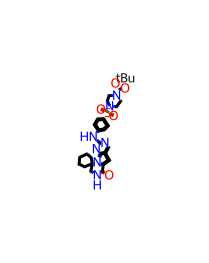 CC(C)(C)OC(=O)N1CCN(S(=O)(=O)c2ccc(Nc3ncc4cc5n(c4n3)C3(CCCCC3)CNC5=O)cc2)CC1